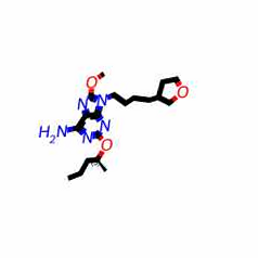 CCC[C@H](C)Oc1nc(N)c2nc(OC)n(CCCCC3CCOC3)c2n1